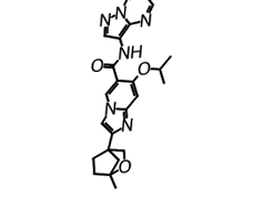 CC(C)Oc1cc2nc(C34CCC(C)(C3)OC4)cn2cc1C(=O)Nc1cnn2cccnc12